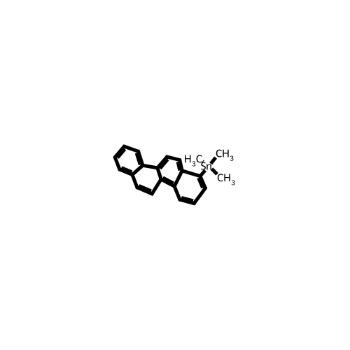 [CH3][Sn]([CH3])([CH3])[c]1cccc2c1ccc1c3ccccc3ccc21